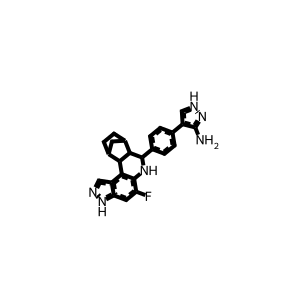 Nc1n[nH]cc1-c1ccc(C2Nc3c(F)cc4[nH]ncc4c3C3C4CCC(C4)C23)cc1